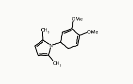 COC1=CCC(n2c(C)ccc2C)C=C1OC